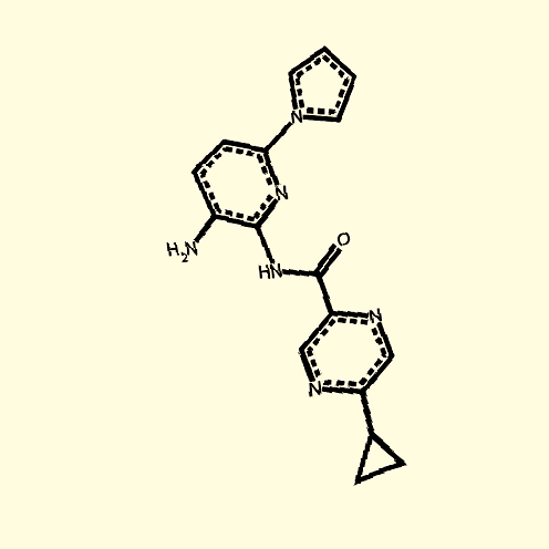 Nc1ccc(-n2cccc2)nc1NC(=O)c1cnc(C2CC2)cn1